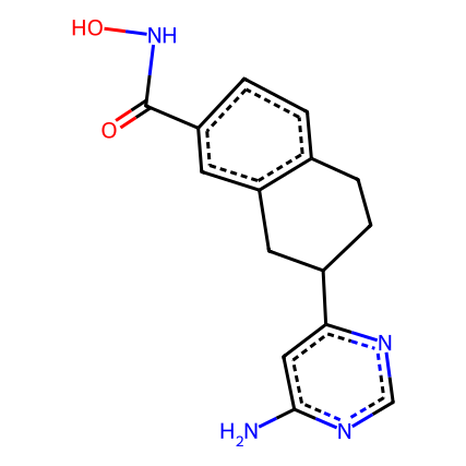 Nc1cc(C2CCc3ccc(C(=O)NO)cc3C2)ncn1